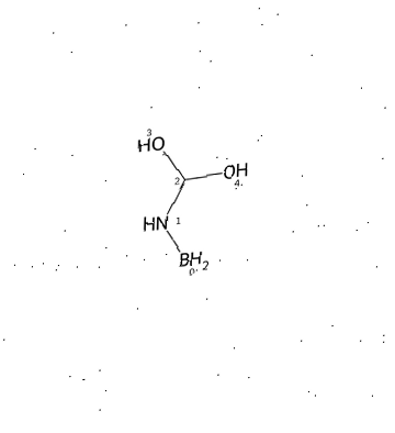 BNC(O)O